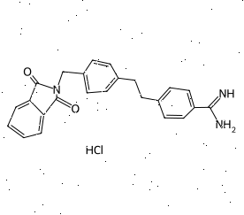 Cl.N=C(N)c1ccc(CCc2ccc(CN3C(=O)c4ccccc4C3=O)cc2)cc1